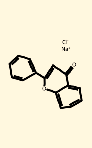 O=c1cc(-c2ccccc2)oc2ccccc12.[Cl-].[Na+]